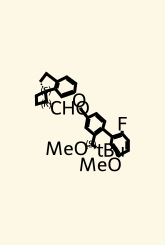 COc1ccc(F)c(-c2ccc(COc3ccc4c(c3)[C@]3(CC4)CC[C@H]3C=O)cc2[C@@H](OC)C(C)(C)C)c1